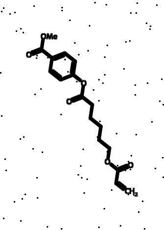 C=CC(=O)OCCCCCC(=O)Oc1ccc(C(=O)OC)cc1